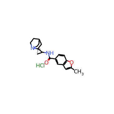 Cc1cc2cc(C(=O)NC3C[C@]34CC3CCN4CC3)ccc2o1.Cl